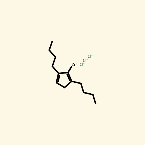 CCCCC1=CCC(CCCC)=[C]1[Zr+3].[Cl-].[Cl-].[Cl-]